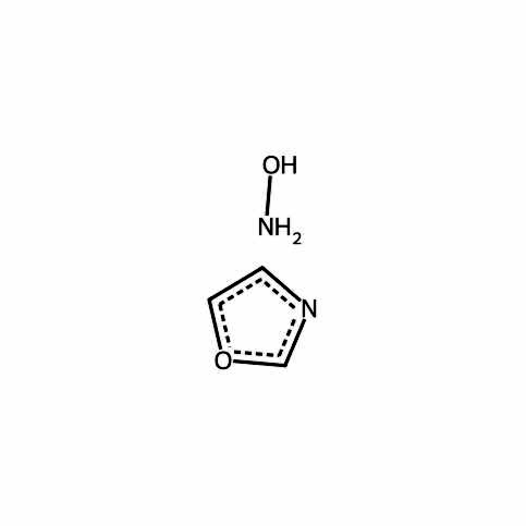 NO.c1cocn1